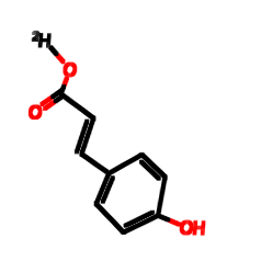 [2H]OC(=O)C=Cc1ccc(O)cc1